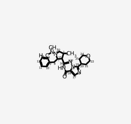 CC1CN(N(C)C)C(Cc2ccccc2)C1c1nn2c(C3CCOCC3)ncc2c(=O)[nH]1